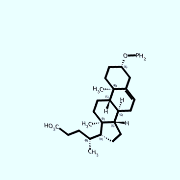 C[C@H](CCC(=O)O)[C@H]1CC[C@H]2[C@@H]3CC=C4C[C@@H](OP)CC[C@]4(C)[C@H]3CC[C@]12C